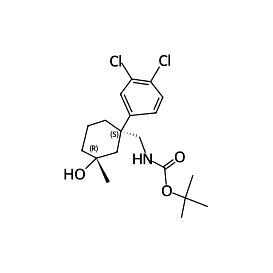 CC(C)(C)OC(=O)NC[C@@]1(c2ccc(Cl)c(Cl)c2)CCC[C@@](C)(O)C1